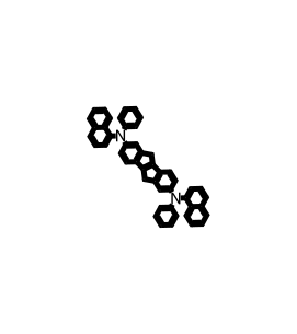 c1ccc(N(c2ccc3c(c2)CC2=C3Cc3cc(N(c4ccccc4)c4cccc5ccccc45)ccc32)c2cccc3ccccc23)cc1